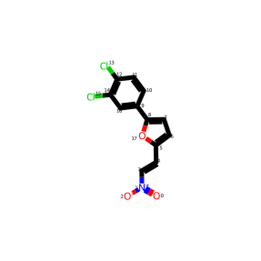 O=[N+]([O-])C=Cc1ccc(-c2ccc(Cl)c(Cl)c2)o1